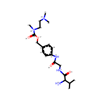 CC(C)C(N)C(=O)NCC(=O)Nc1ccc(COC(=O)N(C)CCN(C)C)cc1